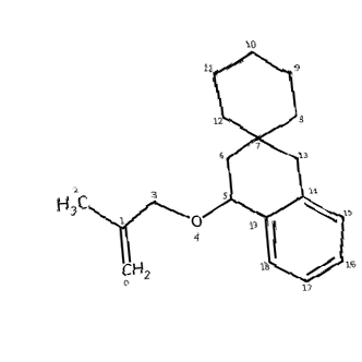 C=C(C)COC1CC2(CCCCC2)Cc2ccccc21